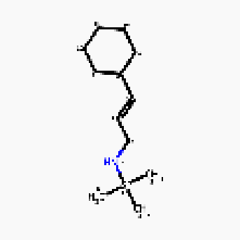 C[Si](C)(C)NCC=CC1CCCCC1